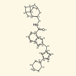 O=C(NCC12CC3CC4CC(C1)C4(C3)C2)c1cccc2nc(Cn3nnc(N4CCOCC4)n3)cn12